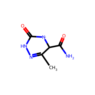 CC1=NNC(=O)[N]C1C(N)=O